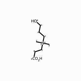 C[N+](C)(CCCO)CCC(=O)O